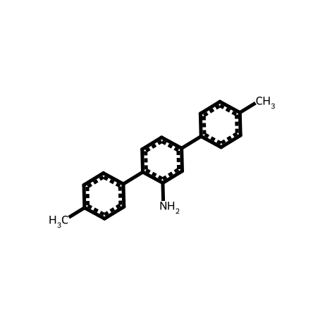 Cc1ccc(-c2ccc(-c3ccc(C)cc3)c(N)c2)cc1